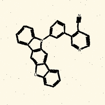 N#Cc1ccncc1-c1cccc(-n2c3ccccc3c3cc4oc5ccccc5c4cc32)c1